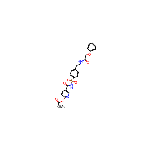 COC(=O)Oc1ccc(C(=O)NS(=O)(=O)c2ccc(CCNC(=O)COc3ccccc3)cc2)cn1